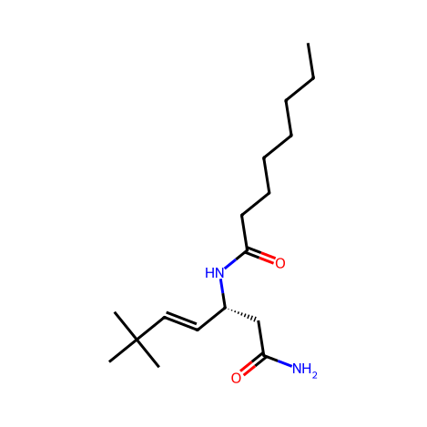 CCCCCCCC(=O)N[C@@H](/C=C/C(C)(C)C)CC(N)=O